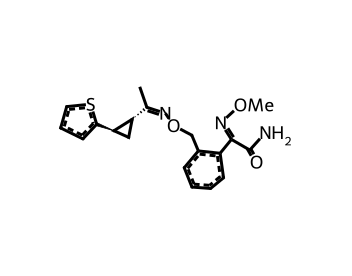 CON=C(C(N)=O)c1ccccc1CON=C(C)[C@@H]1C[C@H]1c1cccs1